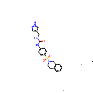 O=C(NCc1cn[nH]c1)Nc1ccc(S(=O)(=O)N2CCc3ccccc3C2)cc1